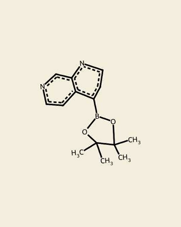 CC1(C)OB(c2ccnc3cnccc23)OC1(C)C